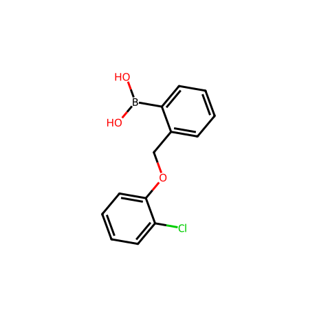 OB(O)c1ccccc1COc1ccccc1Cl